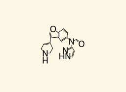 O=CN(c1ccc2occ(C3=CCNCC3)c2c1)c1cc[nH]n1